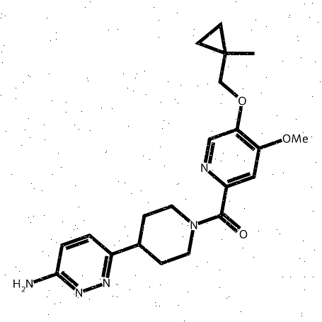 COc1cc(C(=O)N2CCC(c3ccc(N)nn3)CC2)ncc1OCC1(C)CC1